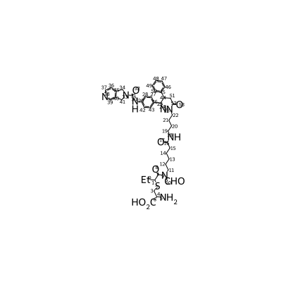 CCC(SCC(N)C(=O)O)C(=O)N(C=O)CCCCCC(=O)NCCCCN1N=C(c2ccc(NC(=O)N3Cc4ccncc4C3)cc2)C(c2ccccc2)CC1=O